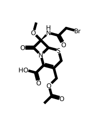 CO[C@@]1(NC(=O)CBr)C(=O)N2C(C(=O)O)=C(COC(C)=O)CSC21